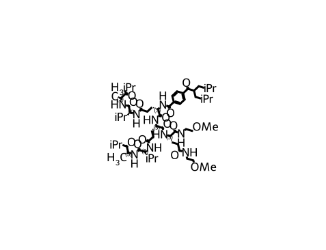 COCCNC(=O)CC[C@H](NC(=O)[C@H](CCC(=O)N[C@H](C(=O)N[C@@H](C)C(=O)C(C)C)C(C)C)NC(=O)[C@H](CCC(=O)N[C@H](C(=O)N[C@@H](C)C(=O)C(C)C)C(C)C)NC(=O)c1ccc(C(=O)C(CC(C)C)CC(C)C)cc1)C(=O)NCCOC